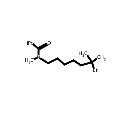 CCC(C)(C)CCCCCN(C)C(=O)C(C)C